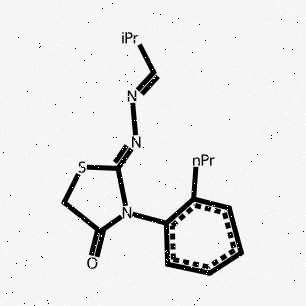 CCCc1ccccc1N1C(=O)CS/C1=N\N=C\C(C)C